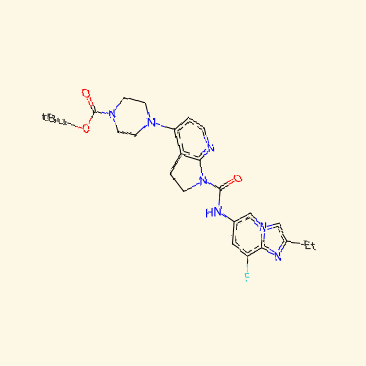 CCc1cn2cc(NC(=O)N3CCc4c(N5CCN(C(=O)OC(C)(C)C)CC5)ccnc43)cc(F)c2n1